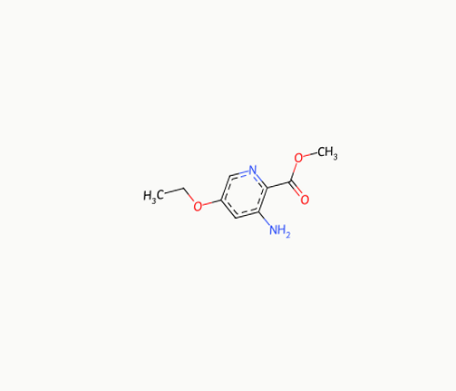 CCOc1cnc(C(=O)OC)c(N)c1